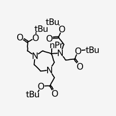 CCCC1(N(CC(=O)OC(C)(C)C)CC(=O)OC(C)(C)C)CN(CC(=O)OC(C)(C)C)CCN(CC(=O)OC(C)(C)C)C1